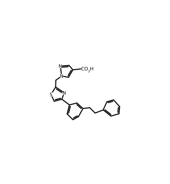 O=C(O)c1cnn(Cc2nc(-c3cccc(CCc4ccccc4)c3)cs2)c1